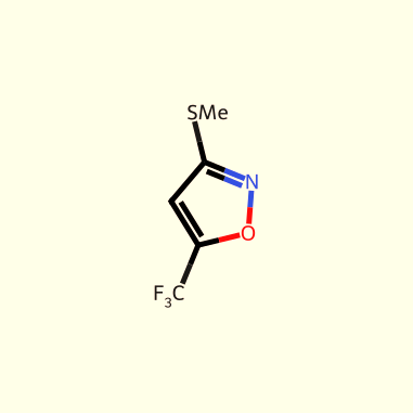 CSc1cc(C(F)(F)F)on1